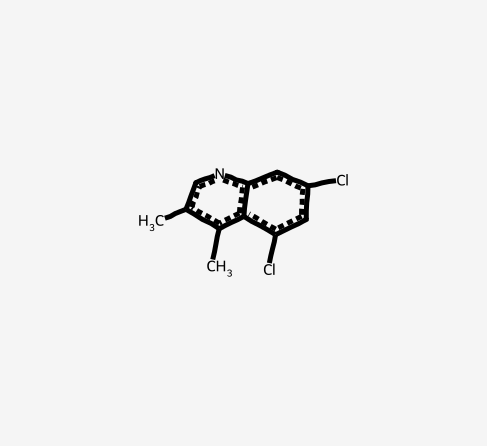 Cc1cnc2cc(Cl)cc(Cl)c2c1C